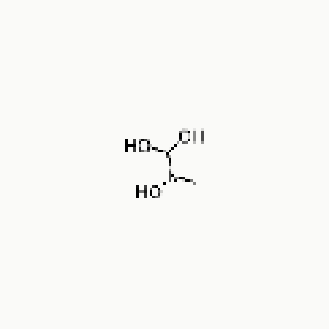 CN(O)C(O)O